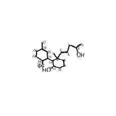 CC(O)CCCC1(C)CCCC(O)C1C1CC(C)CCC1C(C)C